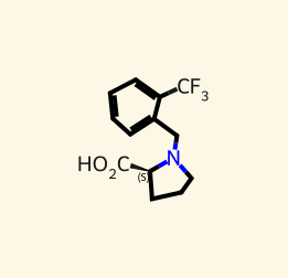 O=C(O)[C@@H]1CCCN1Cc1ccccc1C(F)(F)F